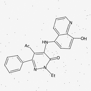 CCn1nc(-c2ccccc2)c(C(C)=O)c(Nc2ccc(O)c3ncccc23)c1=O